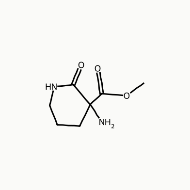 COC(=O)C1(N)CCCNC1=O